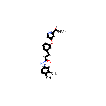 CNC(=O)c1cc(Oc2cccc(CCC(=O)Nc3ccc(C)c(C)c3)c2)ccn1